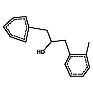 Cc1ccccc1CC(O)Cc1ccccc1